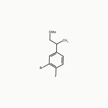 COCC(C)c1ccc(F)c(Br)c1